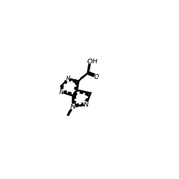 Cn1ncc2c(C(=O)O)ncnc21